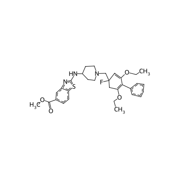 CCOC1=CC(F)(CN2CCC(Nc3nc4cc(C(=O)OC)ccc4s3)CC2)CC(OCC)=C1c1ccccc1